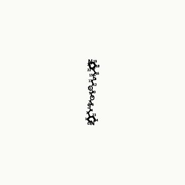 c1cc(CCSCCOCCOCCSCCc2ccncc2)ccn1